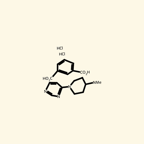 CNC1CCN(c2ccncn2)CC1.Cl.Cl.O=C(O)c1cccc(C(=O)O)c1